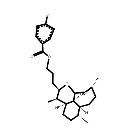 C[C@H]1[C@@H](CCCOC(=O)c2ccc(Br)cc2)OC2O[C@]3(C)CC[C@H]4[C@H](C)CC[C@@H]1[C@@]24OO3